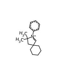 CC1(C)CC2(C=[N+]1c1ccccc1)CCCCC2